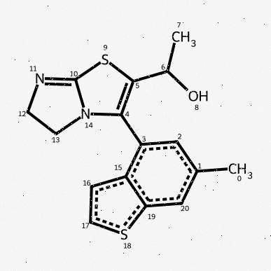 Cc1cc(C2=C(C(C)O)SC3=NCCN32)c2ccsc2c1